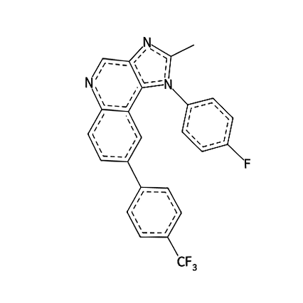 Cc1nc2cnc3ccc(-c4ccc(C(F)(F)F)cc4)cc3c2n1-c1ccc(F)cc1